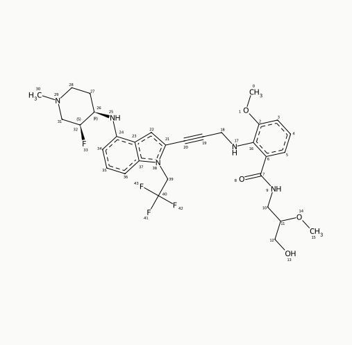 COc1cccc(C(=O)NCC(CO)OC)c1NCC#Cc1cc2c(N[C@@H]3CCN(C)C[C@@H]3F)cccc2n1CC(F)(F)F